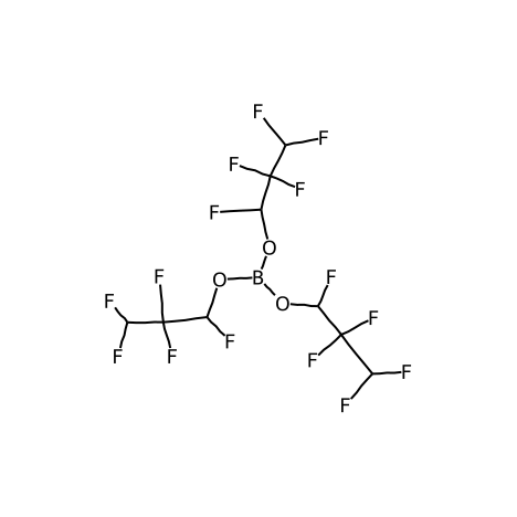 FC(F)C(F)(F)C(F)OB(OC(F)C(F)(F)C(F)F)OC(F)C(F)(F)C(F)F